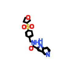 O=C(NCC1=CCC(S(=O)(=O)[C@@H]2CCOC2)C=C1)c1cc2cnccc2[nH]1